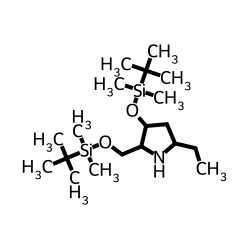 CCC1CC(O[Si](C)(C)C(C)(C)C)C(CO[Si](C)(C)C(C)(C)C)N1